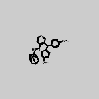 COc1ccc(C(c2ccc(OC)cc2)c2cnccc2C(=O)NC23CC4CC(CC2C4)C3)cc1